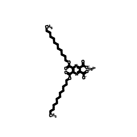 CCCCCCCCCCCCOC(=O)c1nc(C(=O)[O-])c(C(=O)[O-])nc1C(=O)OCCCCCCCCCCCC.[Fe+2]